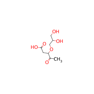 CC(=O)C(CC(=O)O)OCC(O)CO